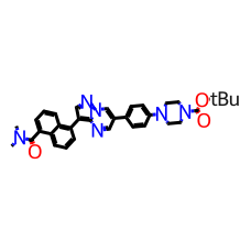 CN(C)C(=O)c1cccc2c(-c3cnn4cc(-c5ccc(N6CCN(C(=O)OC(C)(C)C)CC6)cc5)cnc34)cccc12